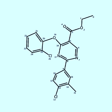 CCOC(=O)c1cnc(-c2ccc(Cl)c(C)c2)nc1Oc1ccccc1Cl